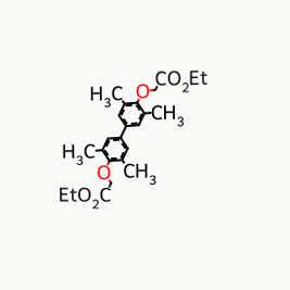 CCOC(=O)COc1c(C)cc(-c2cc(C)c(OCC(=O)OCC)c(C)c2)cc1C